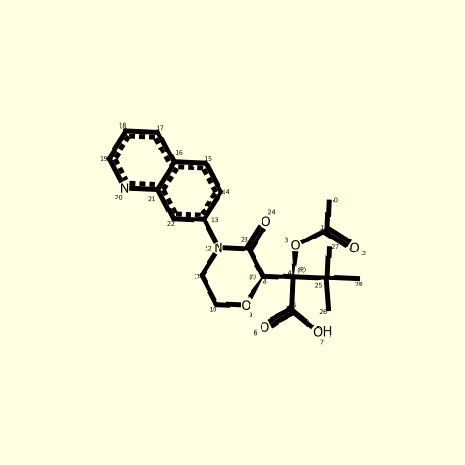 CC(=O)O[C@@](C(=O)O)([C@H]1OCCN(c2ccc3cccnc3c2)C1=O)C(C)(C)C